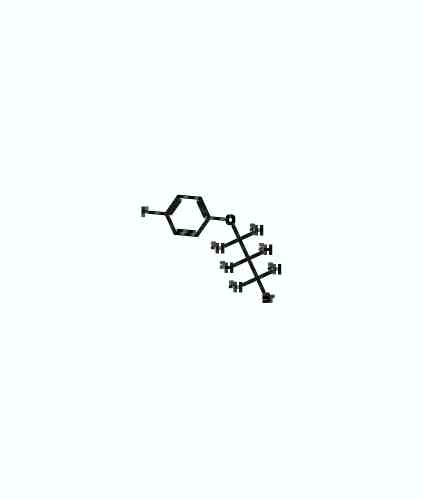 [2H]C([2H])(Br)C([2H])([2H])C([2H])([2H])Oc1ccc(F)cc1